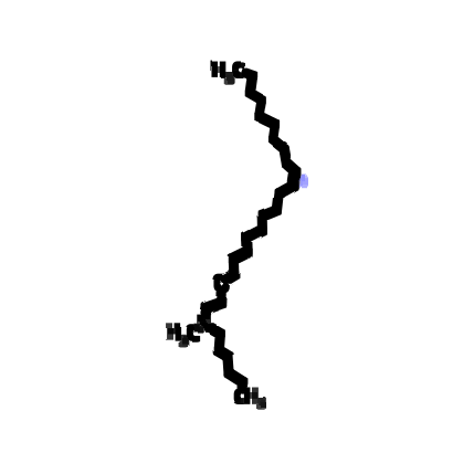 CCCCCCCCC/C=C\CCCCCCCCOCCN(C)CCCCCC